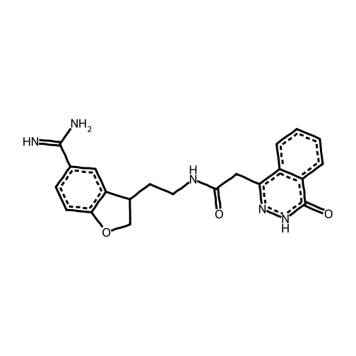 N=C(N)c1ccc2c(c1)C(CCNC(=O)Cc1n[nH]c(=O)c3ccccc13)CO2